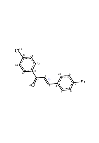 O=C(/C=C/c1ccc(F)cc1)c1ccc(Cl)cc1